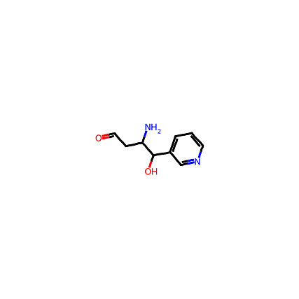 NC(CC=O)C(O)c1cccnc1